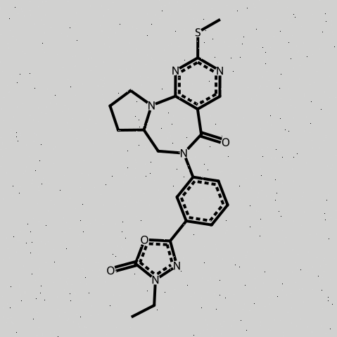 CCn1nc(-c2cccc(N3CC4CCCN4c4nc(SC)ncc4C3=O)c2)oc1=O